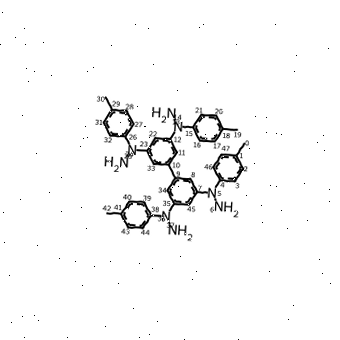 Cc1ccc(N(N)c2cc(-c3cc(N(N)c4ccc(C)cc4)cc(N(N)c4ccc(C)cc4)c3)cc(N(N)c3ccc(C)cc3)c2)cc1